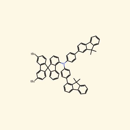 CC(C)(C)c1ccc2c(c1)-c1cc(C(C)(C)C)ccc1C21c2ccccc2-c2c(N(c3ccc(-c4ccc5c(c4)C(C)(C)c4ccccc4-5)cc3)c3ccc(-c4cccc5c4C(C)(C)c4ccccc4-5)cc3)cccc21